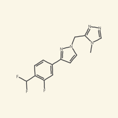 Cn1cnnc1Cn1ccc(-c2ccc(C(F)F)c(F)c2)n1